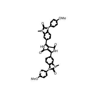 COc1ccc(-n2c(=O)n(C)c3cc(C4=C5C(=O)NC(c6ccc7c(c6)n(C)c(=O)n7-c6ccc(OC)cc6)=C5C(=O)N4)ccc32)cc1